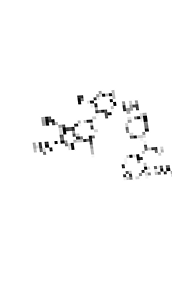 Cc1nc2c(F)cc(-c3nc(Nc4ccc(C(=O)N5CCOC[C@H]5C(=O)O)cn4)ncc3F)cc2n1C(C)C